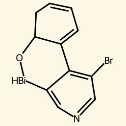 Brc1cnc[c]2c1C1=CC=CCC1[O][BiH]2